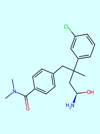 CN(C)C(=O)c1ccc(CC(C)(C[C@H](N)O)c2cccc(Cl)c2)cc1